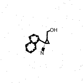 N#C[C@@]1(c2cccc3ccccc23)CC1CO